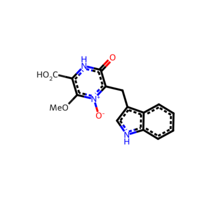 COc1c(C(=O)O)[nH]c(=O)c(Cc2c[nH]c3ccccc23)[n+]1[O-]